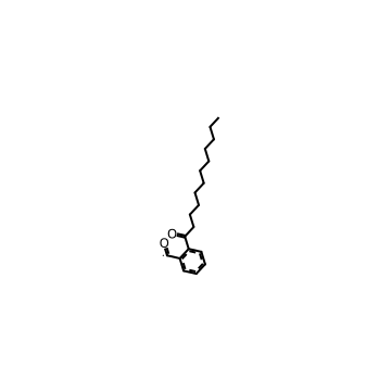 CCCCCCCCCCCC(=O)c1ccccc1[C]=O